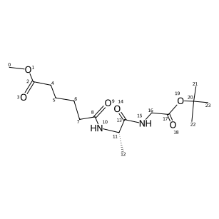 COC(=O)CCCCC(=O)N[C@@H](C)C(=O)NCC(=O)OC(C)(C)C